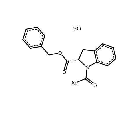 CC(=O)C(=O)N1c2ccccc2C[C@H]1C(=O)OCc1ccccc1.Cl